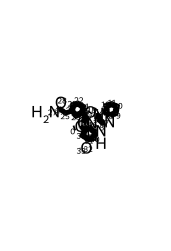 COc1cc(Nc2nc3ccccc3nc2NS(=O)(=O)c2cccc(CC(N)=O)c2)cc(OC)c1